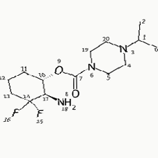 CC(C)N1CCN(C(=O)O[C@H]2CCCC(F)(F)[C@@H]2N)CC1